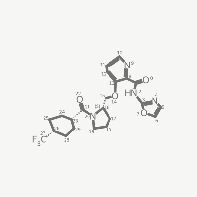 O=C(Nc1ncco1)c1ncccc1OC[C@@H]1CCCN1C(=O)[C@H]1CC[C@@H](C(F)(F)F)CC1